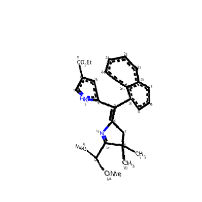 CCOC(=O)c1c[nH]c(/C(=C2/CC(C)(C)C(C(OC)OC)=N2)c2cccc3ccccc23)c1